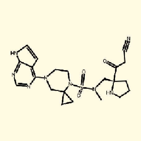 CN(C[C@@]1(C(=O)CC#N)CCCN1)S(=O)(=O)N1CCN(c2ncnc3[nH]ccc23)CC12CC2